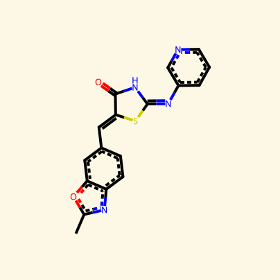 Cc1nc2ccc(/C=C3\S/C(=N/c4cccnc4)NC3=O)cc2o1